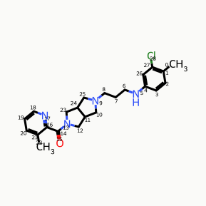 Cc1ccc(NCCCN2CC3CN(C(=O)c4ncccc4C)CC3C2)cc1Cl